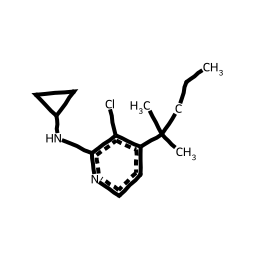 CCCC(C)(C)c1ccnc(NC2CC2)c1Cl